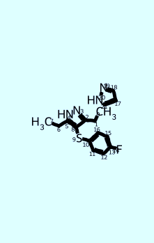 CCc1n[nH]c(CC)c1Sc1ccc(F)cc1.c1cn[nH]c1